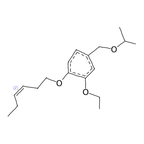 CC/C=C\CCOc1ccc(COC(C)C)cc1OCC